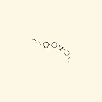 CCCCCc1ccc(-c2ccc(OC(=O)Oc3ccc(CCC)cc3)cc2)c(F)c1